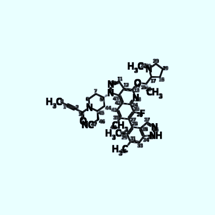 CC#CC(=O)N1CC[C@H](n2ncc3c(O[C@@H](C)C4CCCN4C)nc4c(F)c(-c5c(C)c(C)cc6[nH]ncc56)c(C)cc4c32)C[C@H]1CC#N